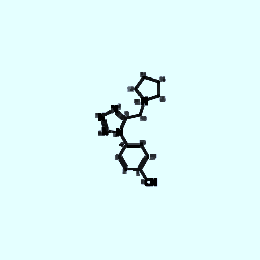 N#Cc1ccc(-n2nnnc2CN2CCCC2)cc1